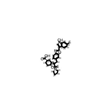 Cn1cc(-c2nc3ccc(CC(=O)C(F)(O[C@H]4CC[C@H](C(=O)O)CC4)N4CCCC4)cc3o2)c2ccc(F)cc21